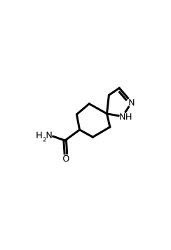 NC(=O)C1CCC2(CC=NN2)CC1